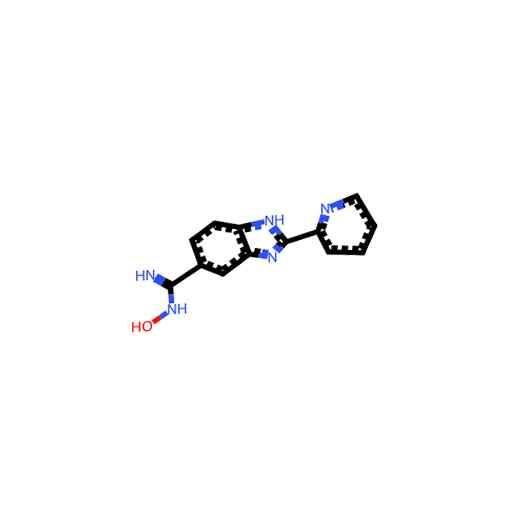 N=C(NO)c1ccc2[nH]c(-c3ccccn3)nc2c1